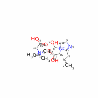 C=CCC1=NC=C[N+]1(CO)CC(=O)O.C[N+](C)(C)CC(=O)O